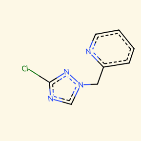 Clc1ncn(Cc2ccccn2)n1